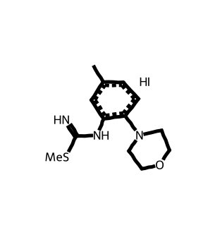 CSC(=N)Nc1cc(C)ccc1N1CCOCC1.I